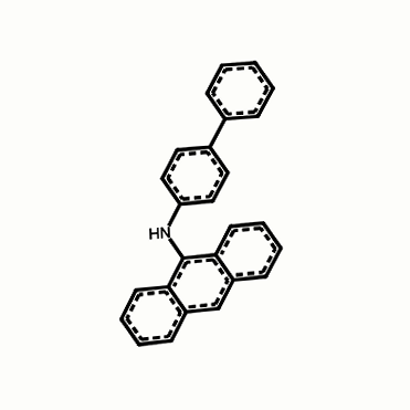 c1ccc(-c2ccc(Nc3c4ccccc4cc4ccccc34)cc2)cc1